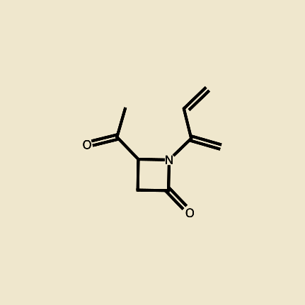 C=CC(=C)N1C(=O)CC1C(C)=O